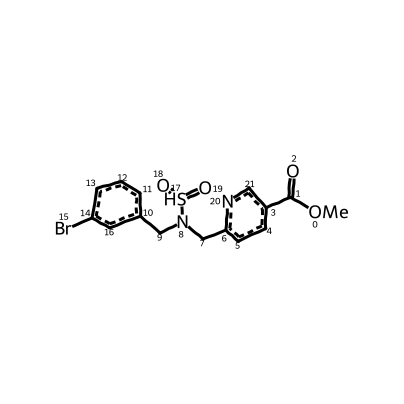 COC(=O)c1ccc(CN(Cc2cccc(Br)c2)[SH](=O)=O)nc1